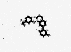 Fc1ccc(F)c(-c2ccc3c(c2)N(Sc2cccc(C(F)(F)F)c2)CCC3)c1